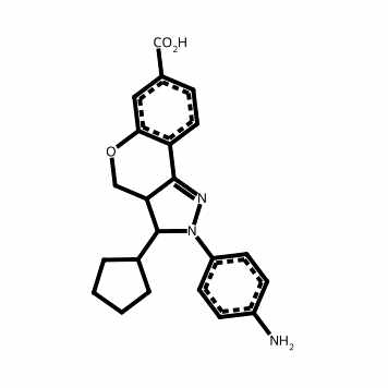 Nc1ccc(N2N=C3c4ccc(C(=O)O)cc4OCC3C2C2CCCC2)cc1